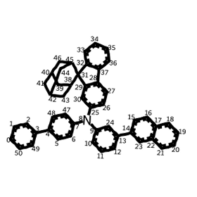 c1ccc(-c2ccc(N(c3cccc(-c4ccc5ccccc5c4)c3)c3ccc4c(c3)C3(c5ccccc5-4)C4CC5CC(C4)CC3C5)cc2)cc1